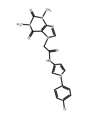 Cn1c(=O)c2c(ncn2CC(=O)Nc2ccn(-c3ccc(Cl)cc3)c2)n(C)c1=O